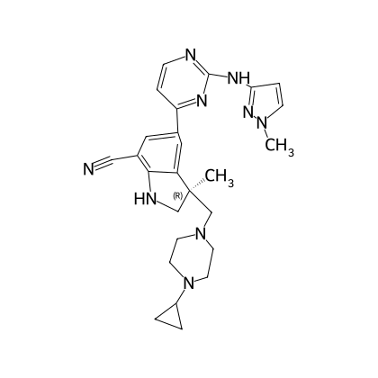 Cn1ccc(Nc2nccc(-c3cc(C#N)c4c(c3)[C@@](C)(CN3CCN(C5CC5)CC3)CN4)n2)n1